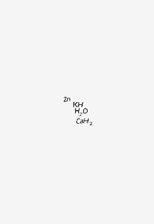 O.[CaH2].[KH].[Zn]